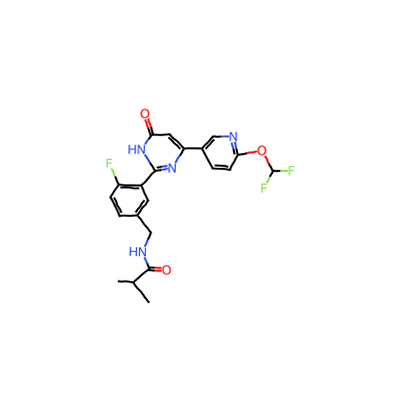 CC(C)C(=O)NCc1ccc(F)c(-c2nc(-c3ccc(OC(F)F)nc3)cc(=O)[nH]2)c1